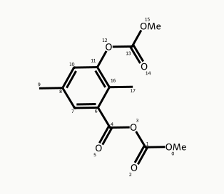 COC(=O)OC(=O)c1cc(C)cc(OC(=O)OC)c1C